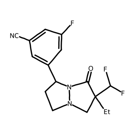 CCC1(C(F)F)CN2CCC(c3cc(F)cc(C#N)c3)N2C1=O